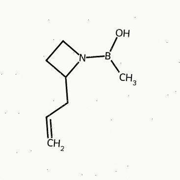 C=CCC1CCN1B(C)O